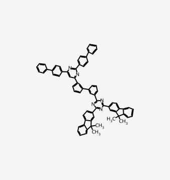 CC1(C)c2ccccc2-c2ccc(-c3nc(-c4cccc(-c5cccc(-c6cc(-c7ccc(-c8ccccc8)cc7)nc(-c7ccc(-c8ccccc8)cc7)n6)c5)c4)nc(-c4ccc5c(c4)C(C)(C)c4ccccc4-5)n3)cc21